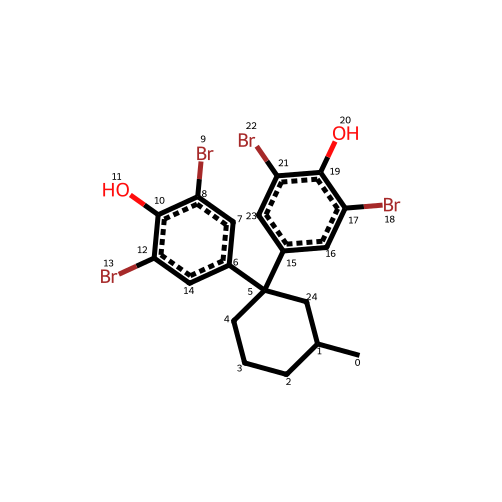 CC1CCCC(c2cc(Br)c(O)c(Br)c2)(c2cc(Br)c(O)c(Br)c2)C1